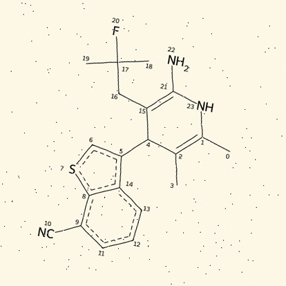 CC1=C(C)C(c2csc3c(C#N)cccc23)C(CC(C)(C)F)=C(N)N1